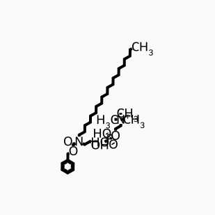 CCCCCCCCCCCCCCCCCCCCN(CCO)C(=O)OCc1ccccc1.C[N+](C)(C)CCOP(=O)(O)O